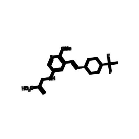 C=C(CNc1cnc(OC)c(/C=C/[C@H]2CC[C@H](C(C)(F)F)CC2)c1)C(=O)O